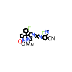 COC(=O)N[C@H]1CCC[C@@H]1[C@](CN1CCC1)(c1cccc(F)c1)C1CCN(CC2(C)CN(c3ccc(C#N)c(CN(C)C)c3F)C2)CC1